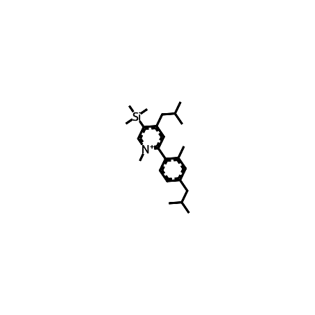 Cc1cc(CC(C)C)ccc1-c1cc(CC(C)C)c([Si](C)(C)C)c[n+]1C